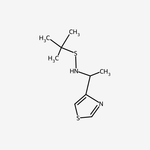 CC(NSC(C)(C)C)c1cscn1